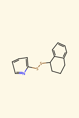 c1ccc(SSC2CCCc3ccccc32)nc1